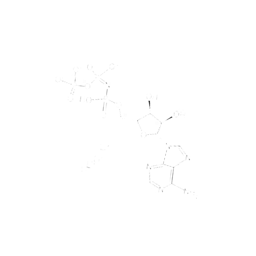 Nc1ncnc2c1ncn2[C@@H]1O[C@H](COP(=O)(O)N=P([O-])([O-])OP(=O)([O-])[O-])[C@@H](O)[C@H]1O.[Li+].[Li+].[Li+].[Li+]